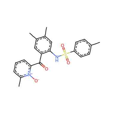 Cc1ccc(S(=O)(=O)Nc2cc(C)c(C)cc2C(=O)c2cccc(C)[n+]2[O-])cc1